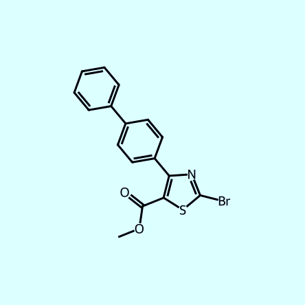 COC(=O)c1sc(Br)nc1-c1ccc(-c2ccccc2)cc1